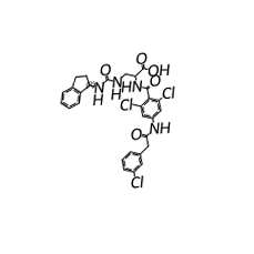 O=C(Cc1cccc(Cl)c1)Nc1cc(Cl)c(C(=O)NC(CNC(=O)N[C@@H]2CCc3ccccc32)C(=O)O)c(Cl)c1